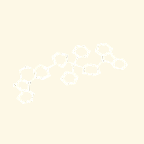 c1ccc([Si](c2ccccc2)(c2cccc(-c3ccc4c(c3)OCc3nc5ccccc5n3-4)c2)c2cccc(-n3c4ccccc4c4ccccc43)c2)cc1